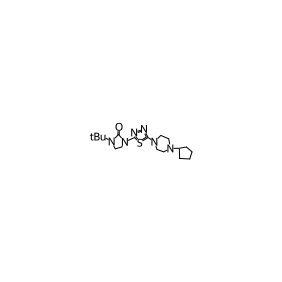 CC(C)(C)N1CCN(c2nnc(N3CCN(C4CCCC4)CC3)s2)C1=O